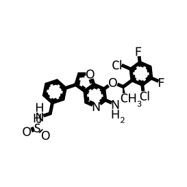 C[C@@H](Oc1c(N)ncc2c(-c3cccc(CN[SH](=O)=O)c3)coc12)c1c(Cl)c(F)cc(F)c1Cl